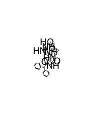 CC(CCCNC(=N)N)(NC(=O)C(c1ccccc1)c1ccccc1)C(=O)NCc1ccc(O)cc1